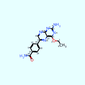 CCOc1nc(N)nc2ncc(-c3ccc(C(N)=O)cc3)nc12